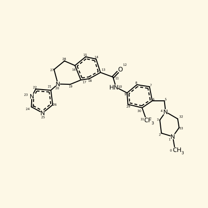 CN1CCN(Cc2ccc(NC(=O)c3ccc4c(c3)CN(c3cncnc3)CC4)cc2C(F)(F)F)CC1